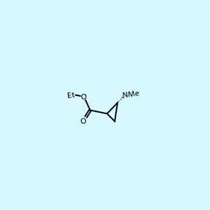 CCOC(=O)C1C[C@H]1NC